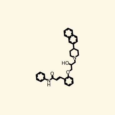 O=C(C=Cc1ccccc1OCC(O)CN1CCC(c2ccc3ccccc3c2)CC1)Nc1ccccc1